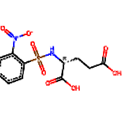 O=C(O)CC[C@@H](NS(=O)(=O)c1ccccc1[N+](=O)[O-])C(=O)O